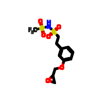 O=S(=O)(CCc1cccc(OCC2CO2)c1)NS(=O)(=O)C(F)(F)F